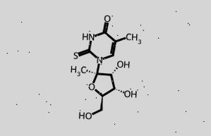 Cc1cn([C@]2(C)O[C@H](CO)[C@@H](O)[C@H]2O)c(=S)[nH]c1=O